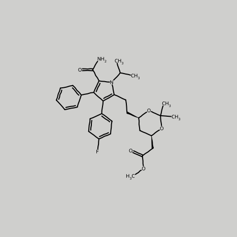 COC(=O)C[C@H]1C[C@@H](CCc2c(-c3ccc(F)cc3)c(-c3ccccc3)c(C(N)=O)n2C(C)C)OC(C)(C)O1